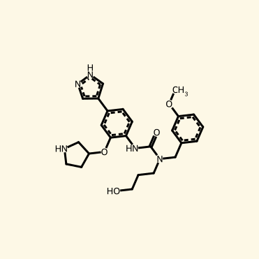 COc1cccc(CN(CCCO)C(=O)Nc2ccc(-c3cn[nH]c3)cc2OC2CCNC2)c1